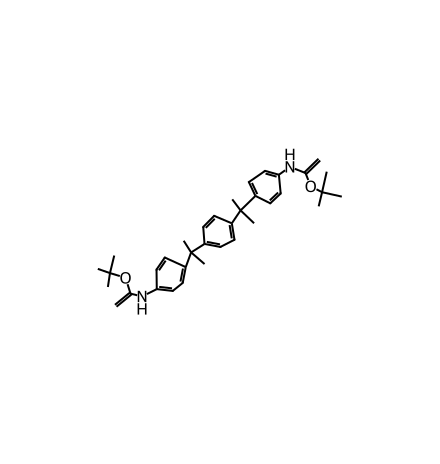 C=C(Nc1ccc(C(C)(C)c2ccc(C(C)(C)c3ccc(NC(=C)OC(C)(C)C)cc3)cc2)cc1)OC(C)(C)C